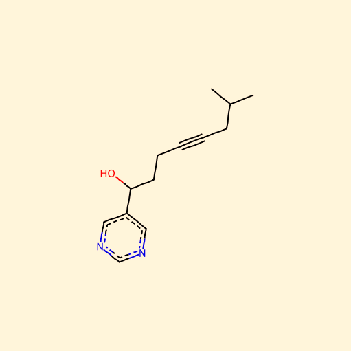 CC(C)CC#CCCC(O)c1cncnc1